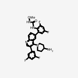 CONC(=O)Nc1c(F)cc(F)cc1-c1ccc2ncc(-c3cc(F)cc(F)c3)c(N3CCC(N)CC3)c2c1